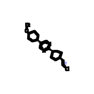 CCO[C@H]1CC[C@H](c2cnc([C@H]3CC[C@H](/C=C/Cl)CC3)nc2)CC1